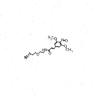 COc1cc(/C=C/C(=O)NCCOCCN=[N+]=[N-])cc(OC)c1N=O